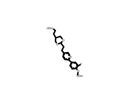 CCCCCCCCCCCCC1COC(CCc2ccc(-c3ccc(OCCCCCCCCCC)c(F)c3)nc2)OC1